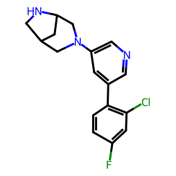 Fc1ccc(-c2cncc(N3CC4CNC(C4)C3)c2)c(Cl)c1